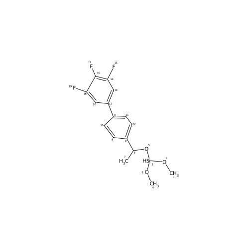 CO[SiH](OC)OC(C)c1ccc(-c2cc(F)c(F)c(F)c2)cc1